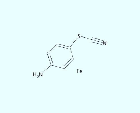 N#CSc1ccc(N)cc1.[Fe]